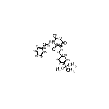 CC(C)(C)c1ccc(CCN2C(=O)CC(=O)N(CCOc3ccccc3)C2=O)cc1